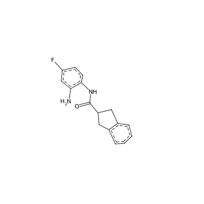 Nc1cc(F)ccc1NC(=O)C1Cc2ccccc2C1